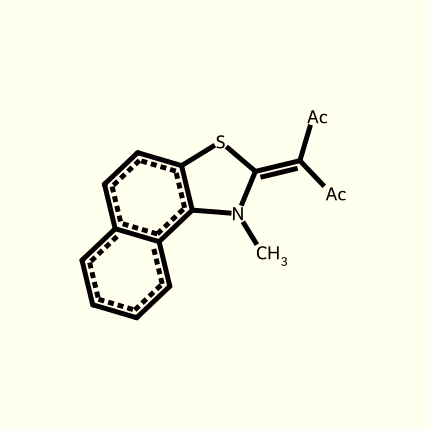 CC(=O)C(C(C)=O)=C1Sc2ccc3ccccc3c2N1C